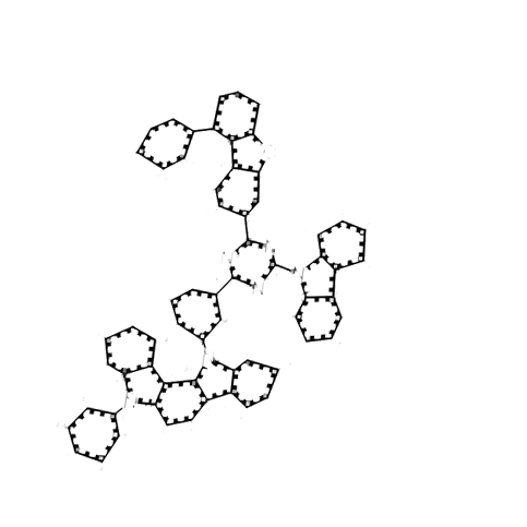 c1ccc(-c2cccc3oc4cc(-c5nc(-c6cccc(-n7c8ccccc8c8ccc9c(c%10ccccc%10n9-c9ccccc9)c87)c6)nc(-n6c7ccccc7c7ccccc76)n5)ccc4c23)cc1